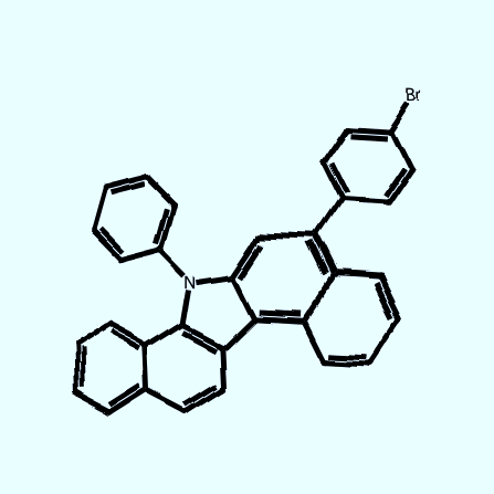 Brc1ccc(-c2cc3c(c4ccccc24)c2ccc4ccccc4c2n3-c2ccccc2)cc1